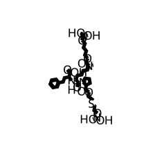 CN(CCCCC(NC(CCc1ccccc1)C(=O)O)C(=O)N1CCCC1C(=O)OCCSCCON(O)O)C(=O)OCCCCON(O)O